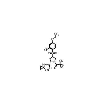 N#CC1(NC(=O)[C@@H]2C[C@@H](S(=O)(=O)c3ccc(OCC(F)(F)F)cc3Cl)CN2C(=O)C2(C#N)CC2)CC1